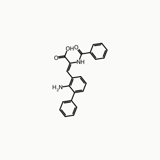 Nc1c(C=C(NC(=O)c2ccccc2)C(=O)O)cccc1-c1ccccc1